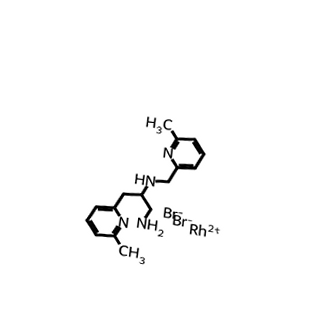 Cc1cccc(CNC(CN)Cc2cccc(C)n2)n1.[Br-].[Br-].[Rh+2]